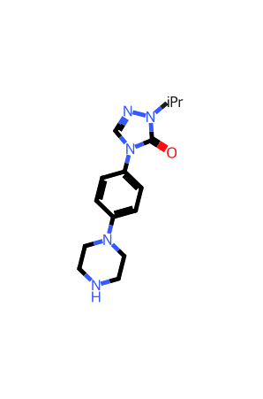 CC(C)n1ncn(-c2ccc(N3CCNCC3)cc2)c1=O